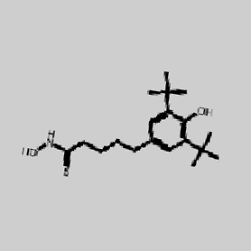 CC(C)(C)c1cc(CCCCC(=S)NO)cc(C(C)(C)C)c1O